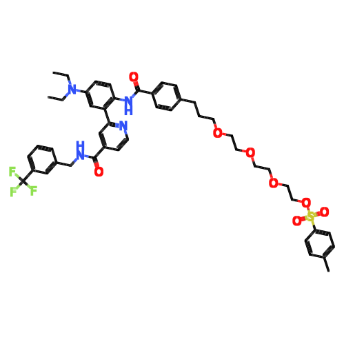 CCN(CC)c1ccc(NC(=O)c2ccc(CCCOCCOCCOCCOS(=O)(=O)c3ccc(C)cc3)cc2)c(-c2cc(C(=O)NCc3cccc(C(F)(F)F)c3)ccn2)c1